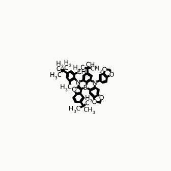 Cc1cc(C(C)(C)C)cc(C)c1N1c2cc(C(C)(C)C)cc3c2B(c2cc4c(cc2N3c2ccc3c(c2)OCO3)OCO4)c2c1oc1ccc(C(C)(C)C)cc21